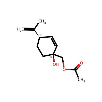 C=C(C)[C@@H]1C=C[C@](O)(COC(C)=O)CC1